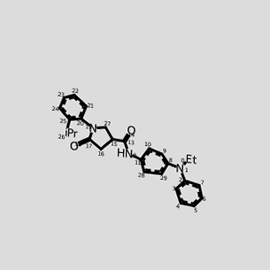 CCN(c1ccccc1)c1ccc(NC(=O)C2CC(=O)N(c3ccccc3C(C)C)C2)cc1